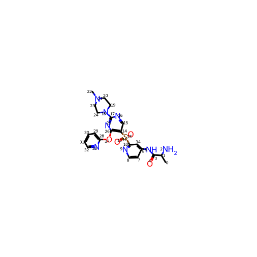 CC(N)C(=O)Nc1ccnc(S(=O)(=O)c2cnc(N3CCN(C)CC3)nc2Oc2ccccn2)c1